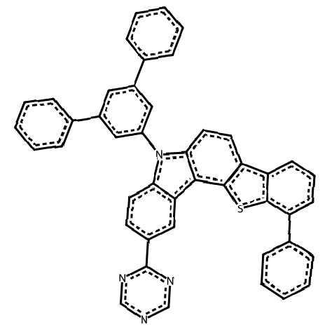 c1ccc(-c2cc(-c3ccccc3)cc(-n3c4ccc(-c5ncncn5)cc4c4c5sc6c(-c7ccccc7)cccc6c5ccc43)c2)cc1